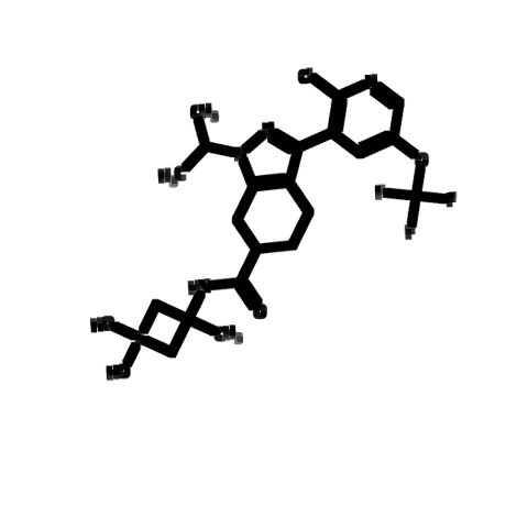 CC(C)n1nc(-c2cc(OC(F)(F)F)cnc2Cl)c2c1CC(C(=O)NC1(C)CS(O)(O)C1)CC2